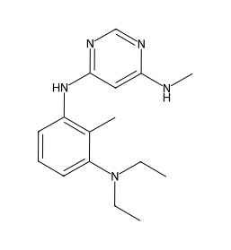 CCN(CC)c1cccc(Nc2cc(NC)ncn2)c1C